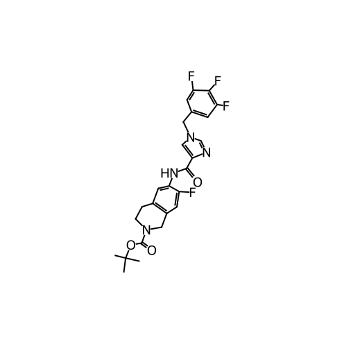 CC(C)(C)OC(=O)N1CCc2cc(NC(=O)c3cn(Cc4cc(F)c(F)c(F)c4)cn3)c(F)cc2C1